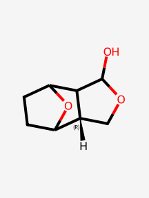 OC1OC[C@@H]2C3CCC(O3)C12